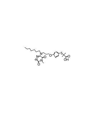 CCCCCCCN(CCCOc1ccc(SC(C)(C)C(=O)O)cc1)c1nn(C)c(=O)n(C)c1=O